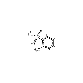 O.O=S(=O)(O)c1cc[c]cc1